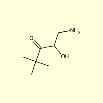 CC(C)(C)C(=O)C(O)CN